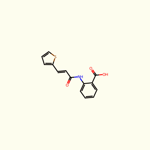 O=C(/C=C/c1cccs1)Nc1ccccc1C(=O)O